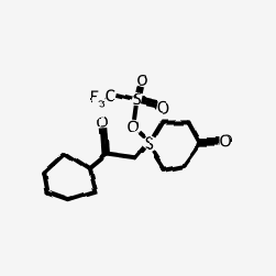 O=C1CCS(CC(=O)C2CCCCC2)(OS(=O)(=O)C(F)(F)F)CC1